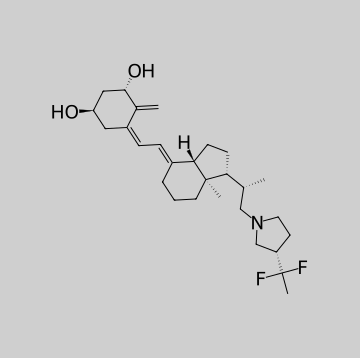 C=C1/C(=C\C=C2/CCC[C@]3(C)[C@@H]([C@H](C)CN4CC[C@H](C(C)(F)F)C4)CC[C@@H]23)C[C@@H](O)C[C@@H]1O